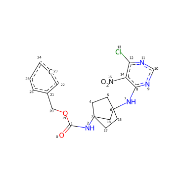 O=C(NC12CCC(Nc3ncnc(Cl)c3[N+](=O)[O-])(CC1)C2)OCc1ccccc1